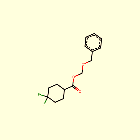 O=C(OCOCc1ccccc1)C1CCC(F)(F)CC1